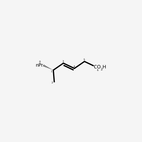 CCC[C@@H](C)/C=C/CC(=O)O